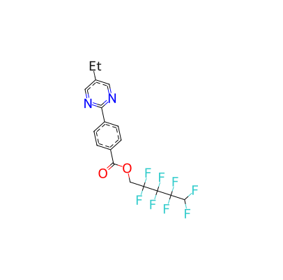 CCc1cnc(-c2ccc(C(=O)OCC(F)(F)C(F)(F)C(F)(F)C(F)F)cc2)nc1